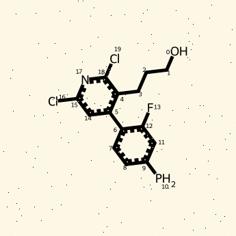 OCCCc1c(-c2ccc(P)cc2F)cc(Cl)nc1Cl